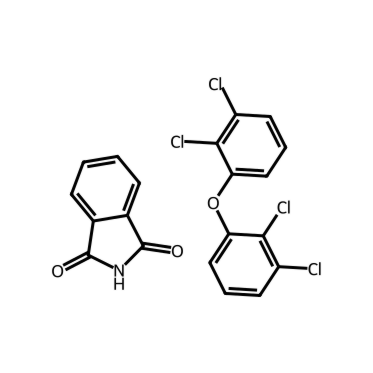 Clc1cccc(Oc2cccc(Cl)c2Cl)c1Cl.O=C1NC(=O)c2ccccc21